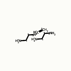 C=C.NCCN.NCCN